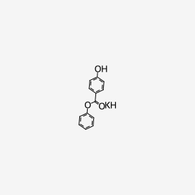 O=C(Oc1ccccc1)c1ccc(O)cc1.[KH]